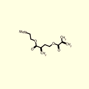 C=C(C)C(=O)OCCC(=C)C(=O)OCCNC